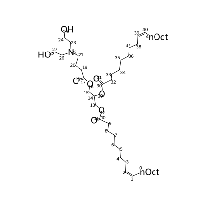 CCCCCCCC/C=C\CCCCCCCC(=O)OCC(COC(=O)CCCN(CCO)CCO)OC(=O)CCCCCCC/C=C\CCCCCCCC